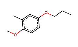 CCCOc1ccc(OC)c(C)c1